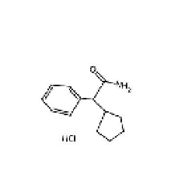 Cl.NC(=O)C(c1ccccc1)C1CCCC1